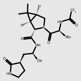 CC(C)(C)[C@H](NC(=O)C(F)(F)F)C(=O)N1C[C@H]2[C@@H]([C@H]1C(=O)N[C@@H](C#N)C[C@H]1CCNC1=O)C2(C)C